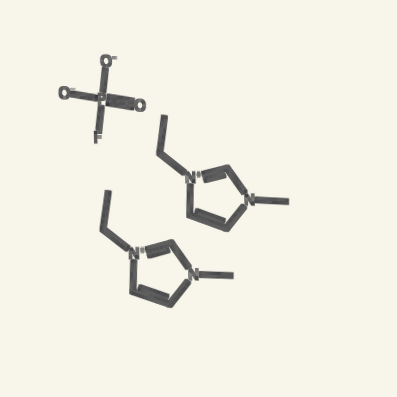 CC[n+]1ccn(C)c1.CC[n+]1ccn(C)c1.O=P([O-])([O-])F